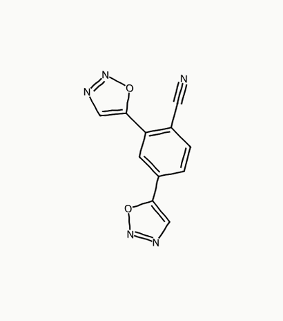 N#Cc1ccc(-c2cnno2)cc1-c1cnno1